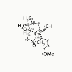 C#C/C(=C(C)\C=C/COC)C12CCN(C)C(C)C1(O)CCC(=O)C2